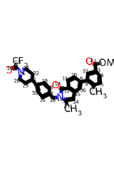 COC(=O)c1ccc(C)c(-c2ccc3c(=O)n(Cc4ccc(C5CCN(C(=O)C(F)(F)F)CC5)cc4)c(C)cc3c2)c1